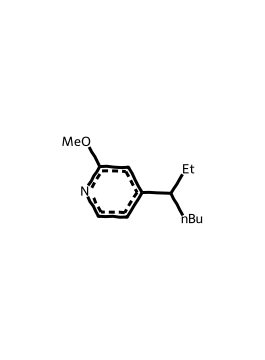 CCCCC(CC)c1ccnc(OC)c1